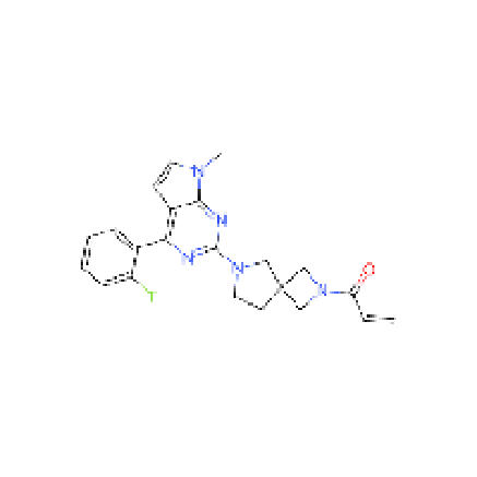 C=CC(=O)N1CC2(CCN(c3nc(-c4ccccc4F)c4ccn(C)c4n3)C2)C1